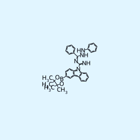 CC1(C)OB(c2ccc3c(c2)c2ccccc2n3C(=N)/N=C(\NNc2ccccc2)c2ccccc2)OC1(C)C